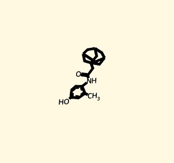 Cc1cc(O)ccc1NC(=O)CC12CC3CC(CC(C3)C1)C2